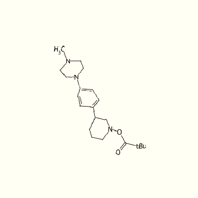 CN1CCN(c2ccc(C3CCCN(OC(=O)C(C)(C)C)C3)cc2)CC1